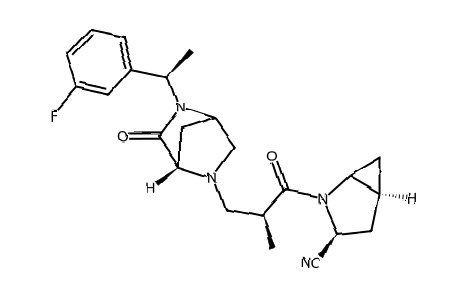 C[C@H](c1cccc(F)c1)N1C(=O)[C@@H]2CC1CN2C[C@H](C)C(=O)N1C2C[C@H]2C[C@H]1C#N